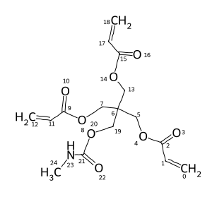 C=CC(=O)OCC(COC(=O)C=C)(COC(=O)C=C)COC(=O)NC